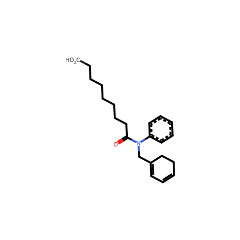 O=C(O)CCCCCCCC(=O)N(CC1=CC=CCC1)c1ccccc1